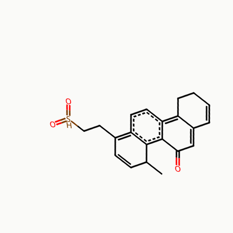 CC1C=CC(CC[SH](=O)=O)=c2ccc3c(c21)C(=O)C=C1C=CCCC=31